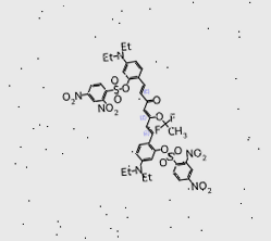 CCN(CC)c1ccc(/C=C/C(=O)/C=C(/C=C/c2ccc(N(CC)CC)cc2OS(=O)(=O)c2ccc([N+](=O)[O-])cc2[N+](=O)[O-])OC(C)(F)F)c(OS(=O)(=O)c2ccc([N+](=O)[O-])cc2[N+](=O)[O-])c1